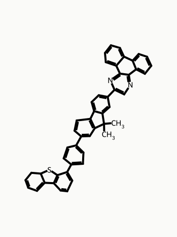 CC1(C)c2cc(-c3ccc(-c4cccc5c4SC4CC=CC=C54)cc3)ccc2-c2ccc(-c3cnc4c5ccccc5c5ccccc5c4n3)cc21